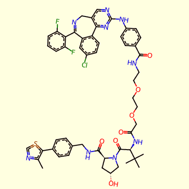 Cc1ncsc1-c1ccc(CNC(=O)[C@@H]2C[C@@H](O)CN2C(=O)[C@@H](NC(=O)COCCOCCNC(=O)c2ccc(Nc3ncc4c(n3)-c3ccc(Cl)cc3C(c3c(F)cccc3F)=NC4)cc2)C(C)(C)C)cc1